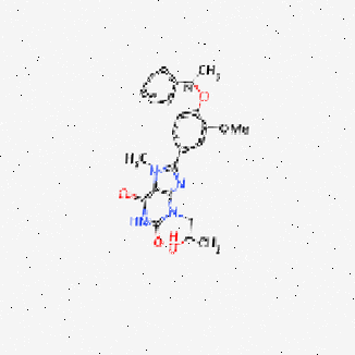 COc1cc(-c2nc3c(c(=O)[nH]c(=O)n3CC(C)O)n2C)ccc1O[C@@H](C)c1ccccc1